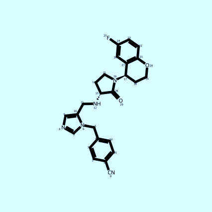 N#Cc1ccc(Cn2cncc2CN[C@@H]2CCN([C@@H]3CCOc4ccc(F)cc43)C2=O)cc1